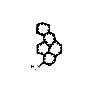 Nc1ccc2ccc3cc4ccccc4c4ccc1c2c34